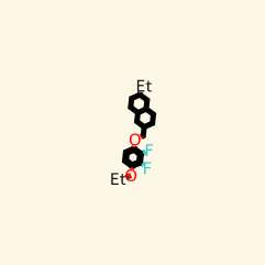 CCOc1ccc(OCC2CCC3CC(CC)CCC3C2)c(F)c1F